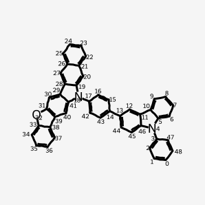 c1ccc(-n2c3ccccc3c3cc(-c4ccc(-n5c6cc7ccccc7cc6c6cc7oc8ccccc8c7cc65)cc4)ccc32)cc1